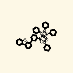 c1ccc(B2OB(c3cccc(-c4cccc5c4sc4ccccc45)c3)N3B(O2)N(c2ccccc2)B(c2ccccc2)N3c2ccccc2)cc1